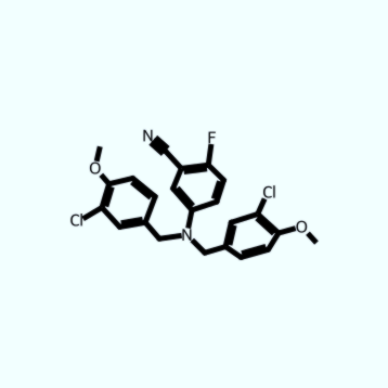 COc1ccc(CN(Cc2ccc(OC)c(Cl)c2)c2ccc(F)c(C#N)c2)cc1Cl